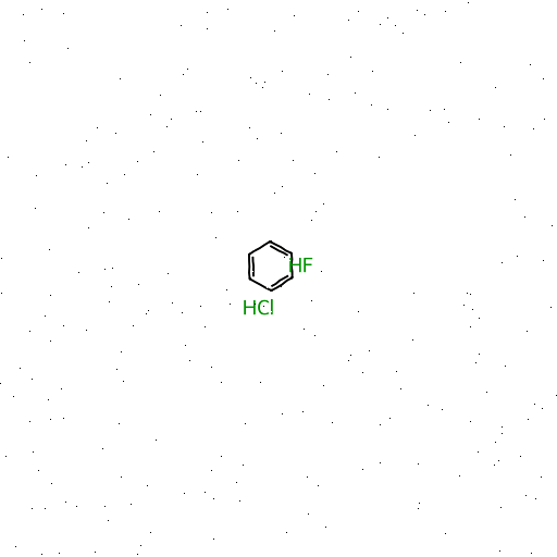 Cl.F.c1ccccc1